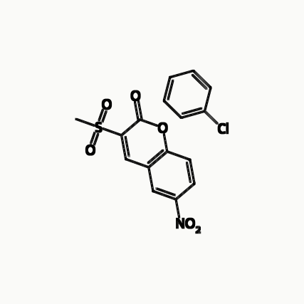 CS(=O)(=O)c1cc2cc([N+](=O)[O-])ccc2oc1=O.Clc1ccccc1